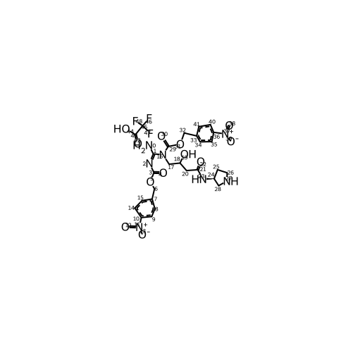 N/C(=N/C(=O)OCc1ccc([N+](=O)[O-])cc1)N(CC(O)CC(=O)N[C@H]1CCNC1)C(=O)OCc1ccc([N+](=O)[O-])cc1.O=C(O)C(F)(F)F